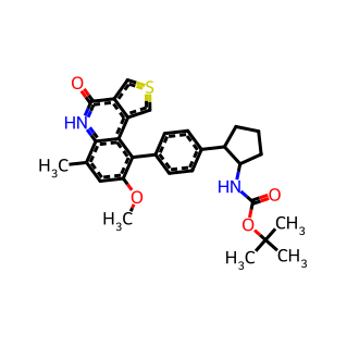 COc1cc(C)c2[nH]c(=O)c3cscc3c2c1-c1ccc(C2CCCC2NC(=O)OC(C)(C)C)cc1